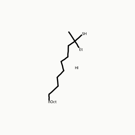 CCCCCCCCCCCCCCCC(C)(S)CC.I